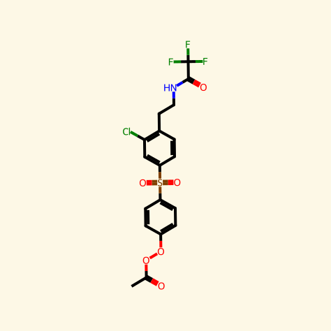 CC(=O)OOc1ccc(S(=O)(=O)c2ccc(CCNC(=O)C(F)(F)F)c(Cl)c2)cc1